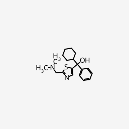 CN(C)Cc1ncc(C(O)(c2ccccc2)C2CCCCC2)s1